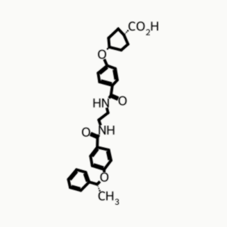 C[C@@H](Oc1ccc(C(=O)NCCNC(=O)c2ccc(O[C@H]3CC[C@@H](C(=O)O)CC3)cc2)cc1)c1ccccc1